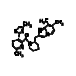 Cc1csc(-c2ccc(C)nc2C(=O)N2CCCCC2Cc2cn3ccc(C)c(C)c3n2)n1